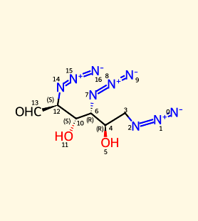 [N-]=[N+]=NC[C@@H](O)[C@@H](N=[N+]=[N-])[C@H](O)[C@@H](C=O)N=[N+]=[N-]